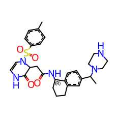 Cc1ccc(S(=O)(=O)N2C=CNC(=O)C2CC(=O)N[C@@H]2CCCc3cc(C(C)N4CCNCC4)ccc32)cc1